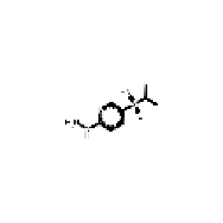 CC(C)S(=N)(=O)c1ccc(NN)nc1